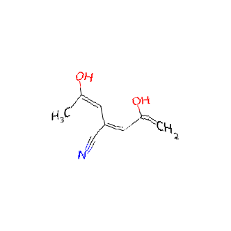 C=C(O)/C=C(C#N)\C=C(/C)O